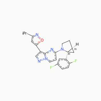 CC(C)c1cc(-c2cnn3ccc(N4CC[C@H]5C[C@]54c4cc(F)ccc4F)nc23)on1